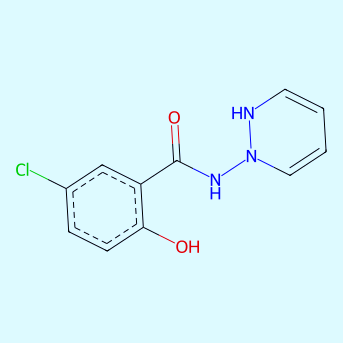 O=C(NN1C=CC=CN1)c1cc(Cl)ccc1O